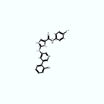 CCc1ccccc1-c1cncc(Sc2ncc(C(=O)Nc3ccc(F)cc3)s2)c1